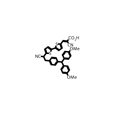 COc1ccc(C(c2ccc(CC(C#N)c3ccc(-c4ccc(/C=C(\C#N)C(=O)O)s4)s3)cc2)c2ccc(OC)cc2)cc1